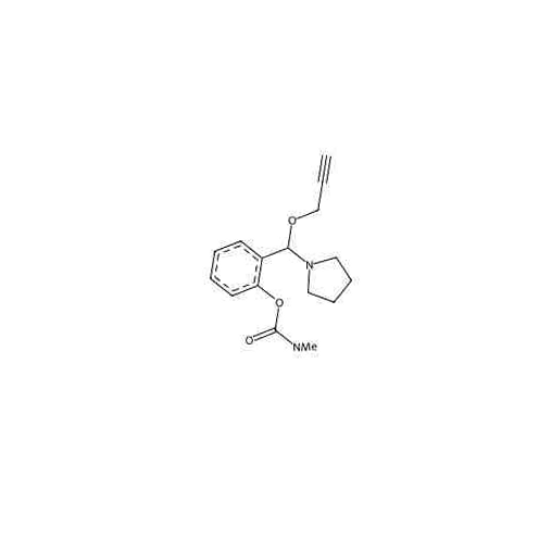 C#CCOC(c1ccccc1OC(=O)NC)N1CCCC1